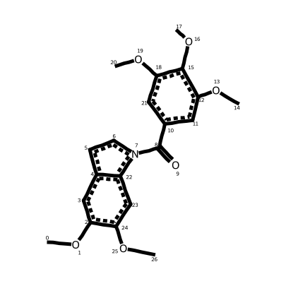 COc1cc2ccn(C(=O)c3cc(OC)c(OC)c(OC)c3)c2cc1OC